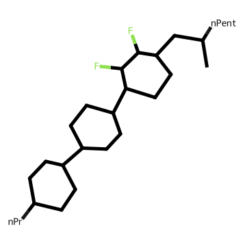 CCCCCC(C)CC1CCC(C2CCC(C3CCC(CCC)CC3)CC2)C(F)C1F